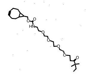 CCC(C)(C)C(=O)CCOCCOCCOCCOCCNC(=O)OCC1C2CCC#CCCC21